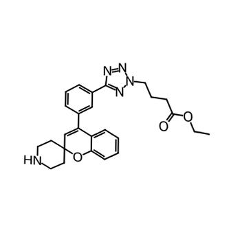 CCOC(=O)CCCn1nnc(-c2cccc(C3=CC4(CCNCC4)Oc4ccccc43)c2)n1